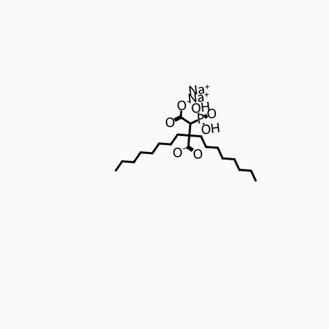 CCCCCCCCC(CCCCCCCC)(C(=O)[O-])C(C(=O)[O-])P(=O)(O)O.[Na+].[Na+]